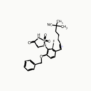 CC(C)(C#N)CCC/C=C\c1ccc(OCc2ccccc2)c(N2CC(=O)NS2(=O)=O)c1F